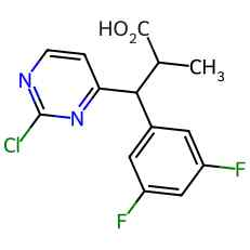 CC(C(=O)O)C(c1cc(F)cc(F)c1)c1ccnc(Cl)n1